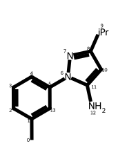 Cc1cccc(-n2nc(C(C)C)cc2N)c1